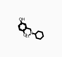 CCN(Cc1cc(O)ccc1Cl)C1CCCCC1